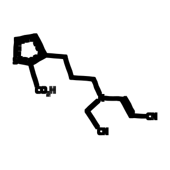 N#CC=CN(CC#N)CCCc1ccsc1C(=O)O